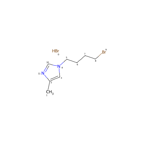 Br.Cc1cn(CCCCBr)cn1